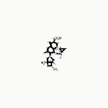 COc1c(N2C[C@@H]3[C@H](C)C[C@]3(N)C2)c(F)cc2c(=O)c(C(=O)O)cn([C@@H]3C[C@@H]3F)c12